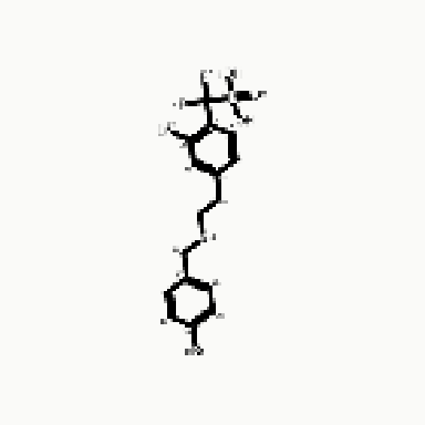 O=P(O)(O)C(F)(F)c1ccc(CCSCc2ccc(Br)cc2)cc1Br